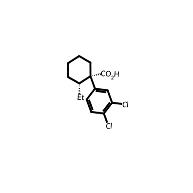 CC[C@@H]1CCCC[C@@]1(C(=O)O)c1ccc(Cl)c(Cl)c1